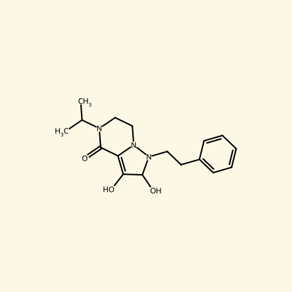 CC(C)N1CCN2C(=C(O)C(O)N2CCc2ccccc2)C1=O